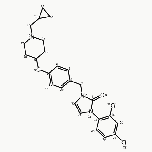 O=c1n(Cc2ccc(OC3CCN(CC4CC4)CC3)nc2)ccn1-c1ccc(Cl)cc1Cl